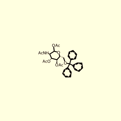 CC(=O)N[C@@H]1C(OC(C)=O)O[C@H](COC(c2ccccc2)(c2ccccc2)c2ccccc2)[C@@H](OC(C)=O)[C@@H]1OC(C)=O